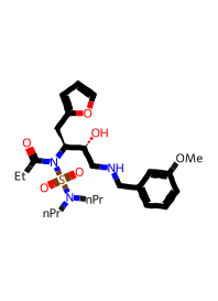 CCCN(CCC)S(=O)(=O)N(C(=O)CC)[C@@H](Cc1ccco1)[C@H](O)CNCc1cccc(OC)c1